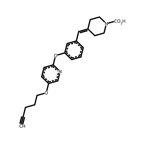 C#CCCCOc1ccc(Oc2cccc(C=C3CCN(C(=O)O)CC3)c2)nc1